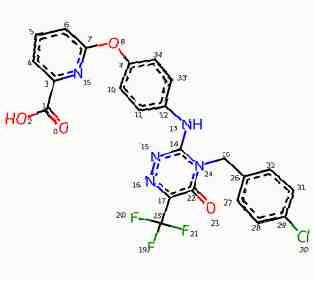 O=C(O)c1cccc(Oc2ccc(Nc3nnc(C(F)(F)F)c(=O)n3Cc3ccc(Cl)cc3)cc2)n1